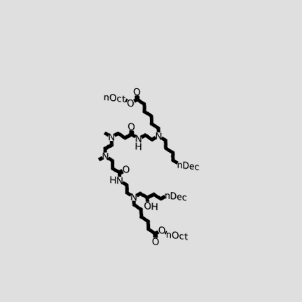 CCCCCCCCCCCCCCN(CCCCCC(=O)OCCCCCCCC)CCNC(=O)CCN(C)CCN(C)CCC(=O)NCCN(CCCCCC(=O)OCCCCCCCC)CC(O)CCCCCCCCCCCC